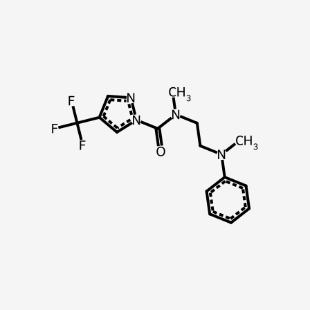 CN(CCN(C)c1ccccc1)C(=O)n1cc(C(F)(F)F)cn1